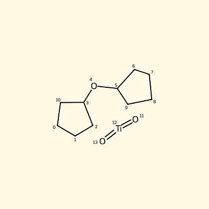 C1CCC(OC2CCCC2)C1.[O]=[Ti]=[O]